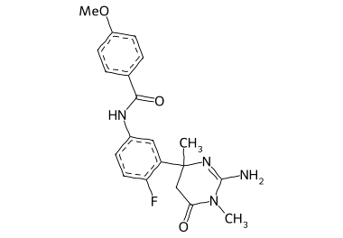 COc1ccc(C(=O)Nc2ccc(F)c(C3(C)CC(=O)N(C)C(N)=N3)c2)cc1